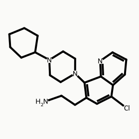 NCCc1cc(Cl)c2cccnc2c1N1CCN(C2CCCCC2)CC1